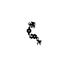 O=C(NCc1ccc(CN2CCc3cc(OCC4CC4(F)F)ccc3C2)cc1)C1(C(F)(F)F)CC1